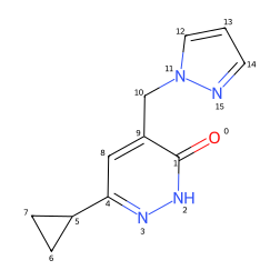 O=c1[nH]nc(C2CC2)cc1Cn1cccn1